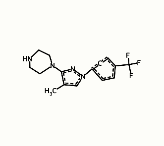 Cc1cn(-c2ccc(C(F)(F)F)cc2)nc1N1CCNCC1